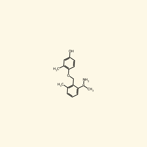 Cc1cc(O)ccc1OCc1c(C)cccc1N(C)N